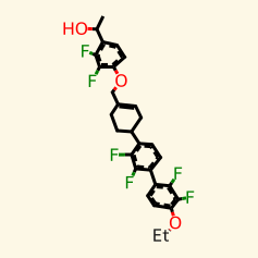 CCOc1ccc(-c2ccc(C3CC=C(COc4ccc(C(C)O)c(F)c4F)CC3)c(F)c2F)c(F)c1F